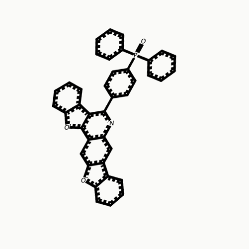 O=P(c1ccccc1)(c1ccccc1)c1ccc(-c2nc3cc4c(cc3c3oc5ccccc5c23)oc2ccccc24)cc1